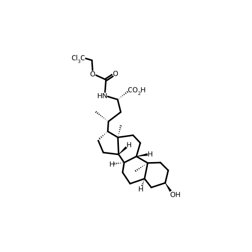 C[C@H](C[C@H](NC(=O)OCC(Cl)(Cl)Cl)C(=O)O)[C@H]1CC[C@H]2[C@@H]3CC[C@@H]4C[C@H](O)CC[C@]4(C)[C@H]3CC[C@]12C